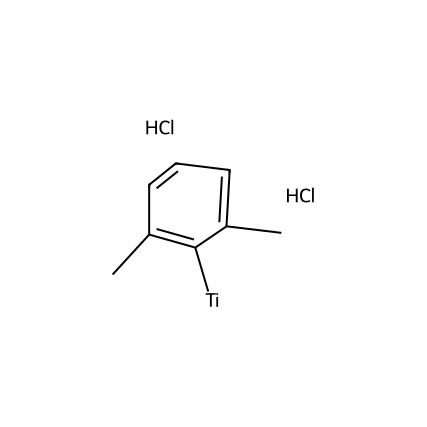 Cc1cccc(C)[c]1[Ti].Cl.Cl